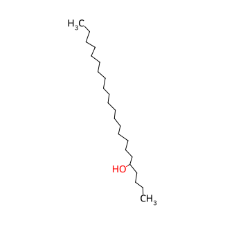 CCCCCCCCCCCCCCCCCCC(O)CCCC